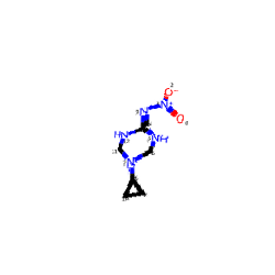 O=[N+]([O-])N=C1NCN(C2CC2)CN1